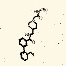 CC(C)(C)NC(=O)CN1CCC(CNC(=O)c2cccc(-c3ccccc3CI)c2)CC1